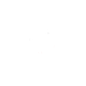 BC(C)(C)O